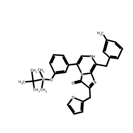 Cc1cccc(Cc2[nH]cc(-c3cccc(O[Si](C)(C)C(C)(C)C)c3)n3c(=O)c(Cc4ccco4)nc2-3)c1